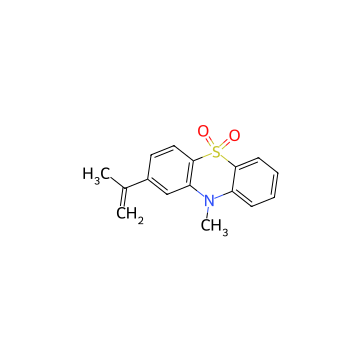 C=C(C)c1ccc2c(c1)N(C)c1ccccc1S2(=O)=O